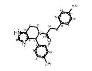 CC(C)c1ccc(C2c3nc[nH]c3CCN2C(=O)CCc2ccc(F)cc2)cc1